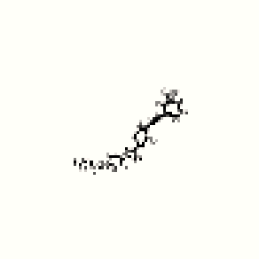 O=C(O)c1ccc(-c2nc(-c3ccc(C#Cc4cccc(C(F)(F)F)c4)cc3)no2)cc1